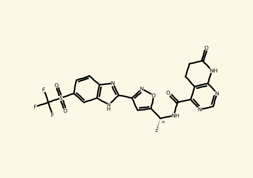 C[C@@H](NC(=O)c1ncnc2c1CCC(=O)N2)c1cc(-c2nc3ccc(S(=O)(=O)C(F)(F)F)cc3[nH]2)no1